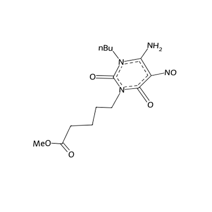 CCCCn1c(N)c(N=O)c(=O)n(CCCCC(=O)OC)c1=O